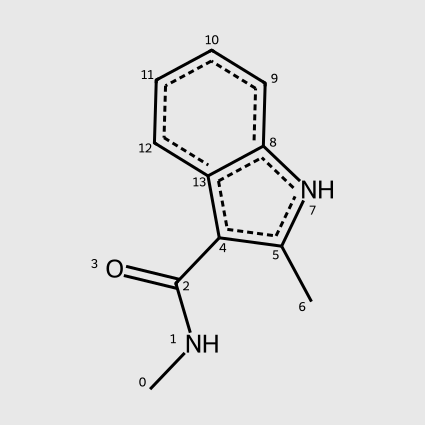 CNC(=O)c1c(C)[nH]c2ccccc12